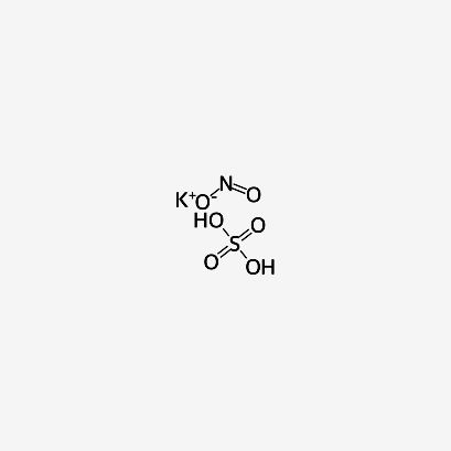 O=N[O-].O=S(=O)(O)O.[K+]